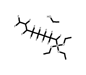 CCO.CCO[Si](OCC)(OCC)C(F)C(F)(F)C(F)(F)C(F)(F)C(F)(F)C(F)C(F)C(F)F